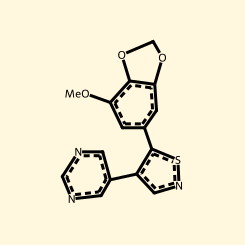 COc1cc(-c2sncc2-c2cncnc2)cc2c1OCO2